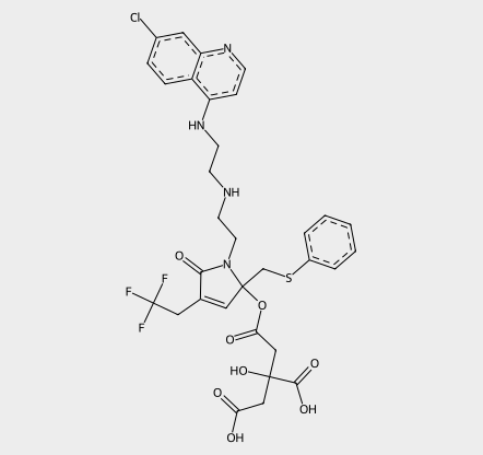 O=C(O)CC(O)(CC(=O)OC1(CSc2ccccc2)C=C(CC(F)(F)F)C(=O)N1CCNCCNc1ccnc2cc(Cl)ccc12)C(=O)O